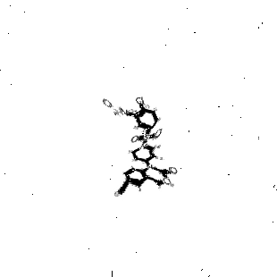 Cc1ccc2c(c1)COC(=O)N2C1CCN(S(=O)(=O)c2ccc(Cl)c([N+](=O)[O-])c2)CC1